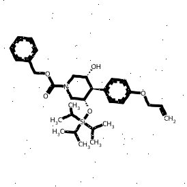 C=CCOc1ccc([C@@H]2[C@@H](O)CN(C(=O)OCc3ccccc3)C[C@H]2O[Si](C(C)C)(C(C)C)C(C)C)cc1